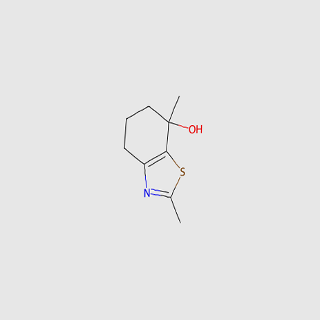 Cc1nc2c(s1)C(C)(O)CCC2